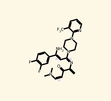 C=C(/N=C(\C=C(/N)c1ccc(F)c(F)c1)N1CCN(c2ncccc2C(F)(F)F)CC1)C(=O)/C=C\N(C)C